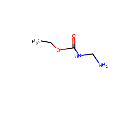 CCOC(=O)NCN